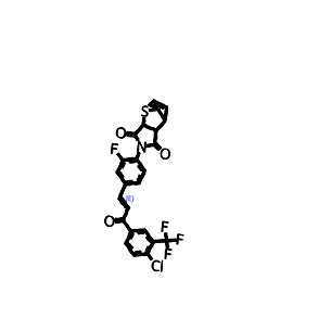 O=C(/C=C/c1ccc(N2C(=O)C3C4C=CS5(CC45)C3C2=O)c(F)c1)c1ccc(Cl)c(C(F)(F)F)c1